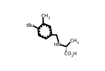 Cc1cc(CN[C@H](C)C(=O)O)ccc1C(C)(C)C